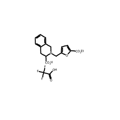 CCOC(=O)c1ccc(CN2Cc3ccccc3CC2C(=O)O)o1.O=C(O)C(F)(F)F